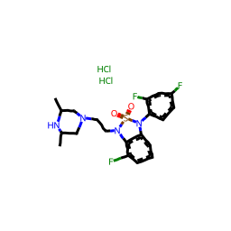 CC1CN(CCN2c3c(F)cccc3N(c3ccc(F)cc3F)S2(=O)=O)CC(C)N1.Cl.Cl